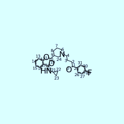 O=C(CCCN1CCCC(COc2ccccc2C(=O)NC2CC2)C1)c1ccc(F)cc1